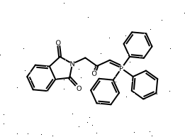 O=C(C=P(c1ccccc1)(c1ccccc1)c1ccccc1)CN1C(=O)c2ccccc2C1=O